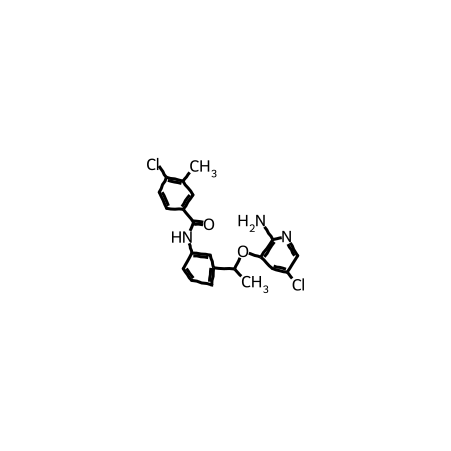 Cc1cc(C(=O)Nc2cccc(C(C)Oc3cc(Cl)cnc3N)c2)ccc1Cl